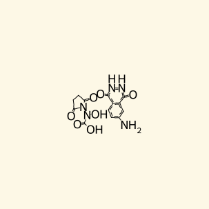 Nc1ccc2c(=O)[nH][nH]c(=O)c2c1.O=C(O)N(O)N1C(=O)CCC1=O